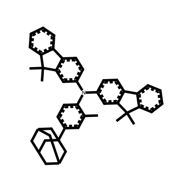 Cc1cc(C23CC4CC(CC(C4)C2)C3)ccc1N(c1ccc2c(c1)C(C)(C)c1ccccc1-2)c1ccc2c(c1)C(C)(C)c1ccccc1-2